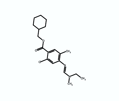 CCN(C)/C=N/c1cc(Cl)c(C(=O)OCC2CCCCC2)cc1C